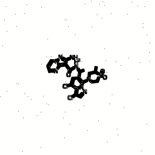 CC(NC(=O)c1c(N)nn2cccnc12)c1cc(Cl)c2c(Cl)cnn2c1N1CCS(=O)(=O)C(C)C1